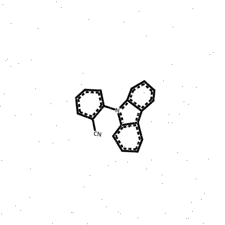 N#Cc1ccccc1-n1c2ccccc2c2ccccc21